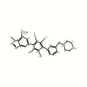 Cn1nnc2cc(-c3c(F)c(F)c(-c4cccc(CN5CCOCC5)c4)c(F)c3F)cc(C(=O)O)c21